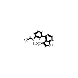 CCOC(=O)c1c[nH]c2ncnc(-c3cccc(OCC(F)(F)F)c3)c12